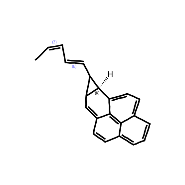 C/C=C\C=C\C1C2C=c3ccc4cccc5ccc(c3c54)[C@@H]21